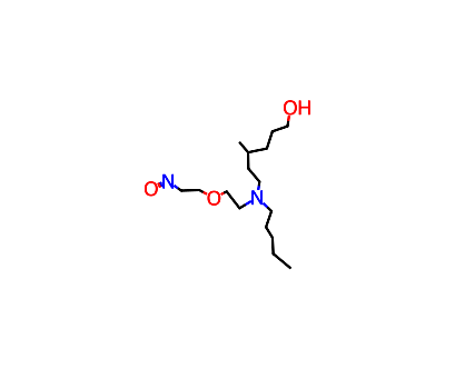 CCCCCN(CCOCCN=O)CCC(C)CCCO